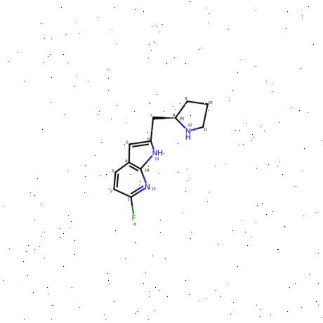 Fc1ccc2cc(C[C@H]3CCCN3)[nH]c2n1